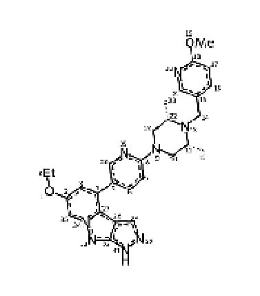 CCOc1cc(-c2ccc(N3C[C@@H](C)N(Cc4ccc(OC)nc4)[C@@H](C)C3)nc2)c2c3cn[nH]c3nn2c1